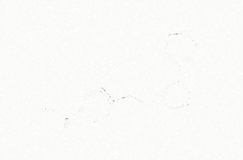 CNC(=O)c1ccc(COc2cccc(C3=CCNCC3)n2)c(F)c1